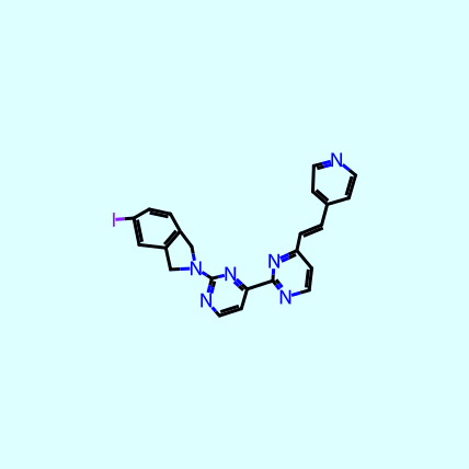 Ic1ccc2c(c1)CN(c1nccc(-c3nccc(/C=C/c4ccncc4)n3)n1)C2